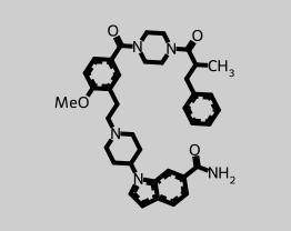 COc1ccc(C(=O)N2CCN(C(=O)C(C)Cc3ccccc3)CC2)cc1CCN1CCC(n2ccc3ccc(C(N)=O)cc32)CC1